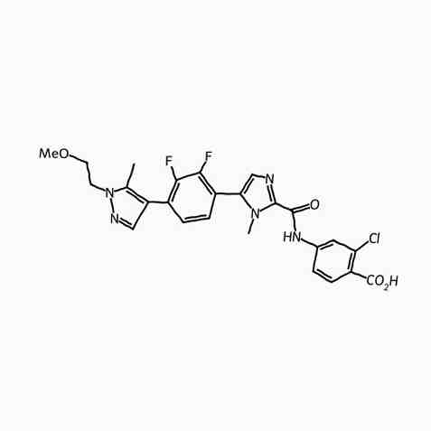 COCCn1ncc(-c2ccc(-c3cnc(C(=O)Nc4ccc(C(=O)O)c(Cl)c4)n3C)c(F)c2F)c1C